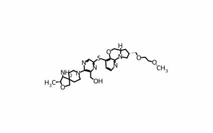 COCCOC[C@H]1C[C@H]2COc3c(Sc4cnc(N5CCC6(CC5)CO[C@@H](C)[C@H]6N)c(CO)n4)ccnc3N2C1